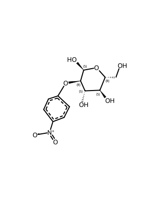 O=[N+]([O-])c1ccc(O[C@@H]2[C@@H](O)[C@H](O)[C@@H](CO)O[C@@H]2O)cc1